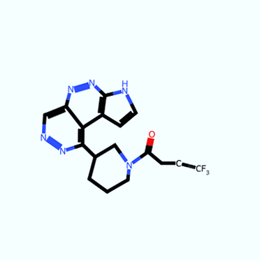 O=C(CCC(F)(F)F)N1CCCC(c2nncc3nnc4[nH]ccc4c23)C1